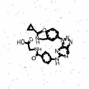 O=C(O)CNC(=O)c1ccc(Nc2ncc3nnn(-c4cccc(CNC(=O)C5CC5)c4)c3n2)cc1